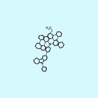 CCc1cccc(-c2ccccc2N(c2ccc(-c3ccc4c(c3)c3ccccc3n4-c3ccccc3)cc2)c2ccccc2-c2cccc3cccc(-c4ccccc4)c23)c1-c1ccccc1Cc1ccccc1